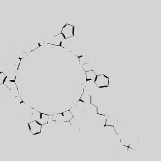 CC(C)CC1C(=O)N[C@@H](Cc2ccccc2)C(=O)N(C)CC(=O)N(C)[C@@H](Cc2ccccc2)C(=O)N[C@@H](C)C(=O)N(C)[C@@H](C)C(=O)N[C@H](Cc2ccccc2)C(=O)OCC(=O)N(C)C(Cc2ccccc2)C(=O)N[C@@H](CCCCNC(=O)[C@@H](N)CSSC(C)(C)C)C(=O)N1C